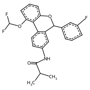 CC(C)C(=O)Nc1ccc2c(c1)C(c1cccc(F)c1)Oc1cccc(OC(F)F)c1-2